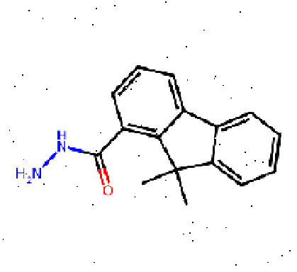 CC1(C)c2ccccc2-c2cccc(C(=O)NN)c21